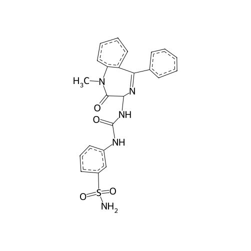 CN1C(=O)C(NC(=O)Nc2cccc(S(N)(=O)=O)c2)N=C(c2ccccc2)c2ccccc21